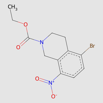 CCOC(=O)N1CCc2c(Br)ccc([N+](=O)[O-])c2C1